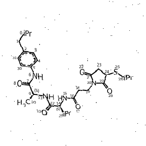 CC(C)Cc1ccc(NC(=O)[C@H](C)NC(=O)[C@@H](NC(=O)CCN2C(=O)CC(SC(C)C)C2=O)C(C)C)cc1